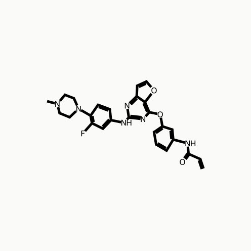 C=CC(=O)Nc1cccc(Oc2nc(Nc3ccc(N4CCN(C)CC4)c(F)c3)nc3ccoc23)c1